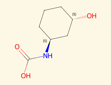 O=C(O)N[C@H]1CCC[C@H](O)C1